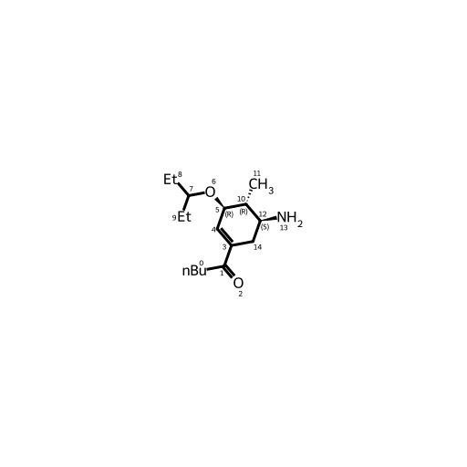 CCCCC(=O)C1=C[C@@H](OC(CC)CC)[C@H](C)[C@@H](N)C1